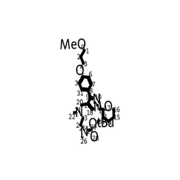 COCCCOc1ccc(-c2nn(C3CCCCO3)cc2CN(C)CCN(C)C(=O)OC(C)(C)C)cc1